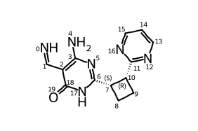 N=Cc1c(N)nc([C@H]2CC[C@H]2c2ncccn2)[nH]c1=O